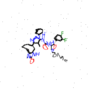 COCCN1C[C@@H](NC(=O)NC2C(C)C(C3=C/CC/C=c4/c([nH]c(=O)n4C)=C\3)=NN2C2=CC=C=C=C2)[C@H](c2ccc(F)c(F)c2)O1